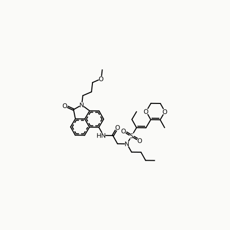 CCCCN(CC(=O)Nc1ccc2c3c(cccc13)C(=O)N2CCCOC)S(=O)(=O)/C(=C/C1=C(C)OCCO1)CC